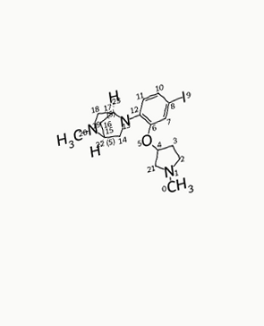 CN1CCC(Oc2cc(I)ccc2N2C[C@@H]3C[C@H]2CN3C)C1